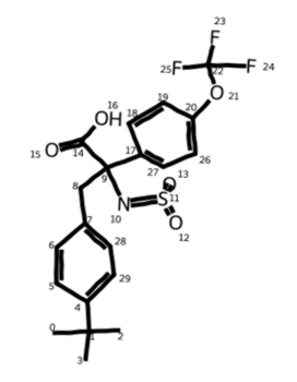 CC(C)(C)c1ccc(CC(N=S(=O)=O)(C(=O)O)c2ccc(OC(F)(F)F)cc2)cc1